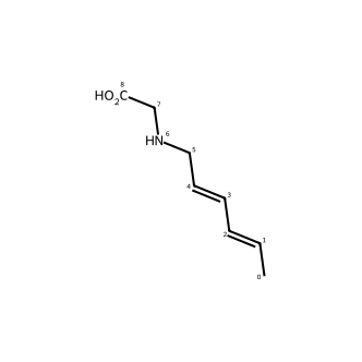 CC=CC=CCNCC(=O)O